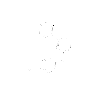 COc1ccc(N(C)c2nccc(-c3cccnc3)n2)cc1